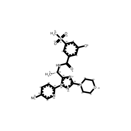 C[C@H](NC(=O)c1cc(Cl)cc(S(C)(=O)=O)c1)c1nc(N2CCOCC2)nn1-c1ccc(C#N)cn1